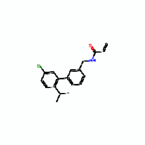 C=CC(=O)NCc1cccc(-c2cc(Cl)ccc2C(C)C)c1